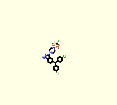 O=S(=O)(N1CCN(c2n[nH]c3ccc(C(c4ccc(Cl)cc4)c4ccc(Cl)cc4)cc23)CC1)C(F)(F)F